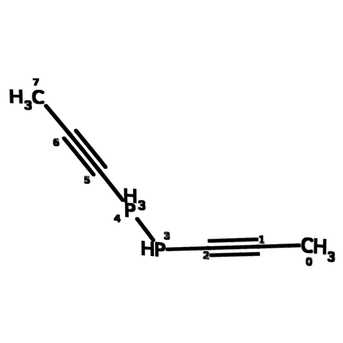 CC#CP[PH3]C#CC